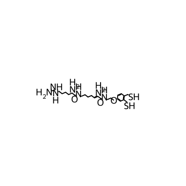 N=C(N)NCCCC[C@@H](N)C(=O)NCCCCC=C(N)C(=O)NCCOc1ccc(CS)c(CS)c1